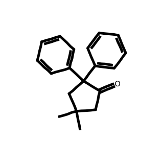 CC1(C)CC(=O)C(c2ccccc2)(c2ccccc2)C1